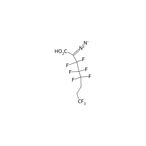 [N-]=[N+]=C(C(=O)O)C(F)(F)C(F)(F)C(F)(F)CCC(F)(F)F